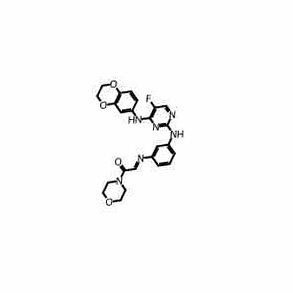 O=C(C=Nc1cccc(Nc2ncc(F)c(Nc3ccc4c(c3)OCCO4)n2)c1)N1CCOCC1